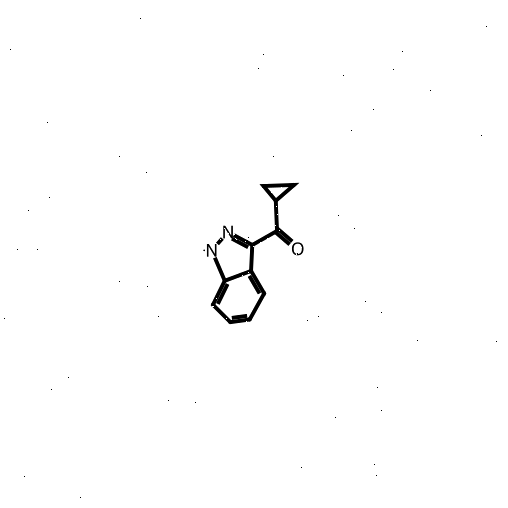 O=C(C1=N[N]c2ccccc21)C1CC1